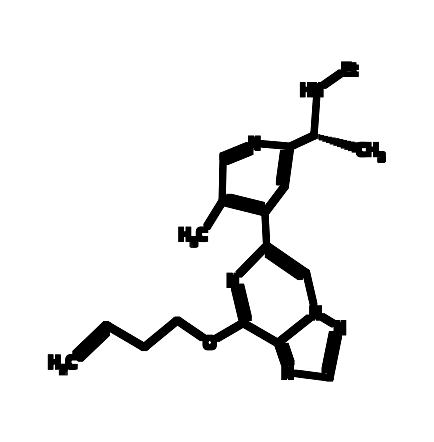 C=CCCOc1nc(-c2cc([C@@H](C)NCC)ncc2C)cn2ncnc12